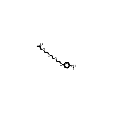 CC(=O)COCCOCCOCCOc1ccc(NI)cc1